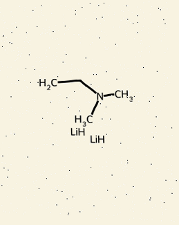 [CH2]CN(C)C.[LiH].[LiH]